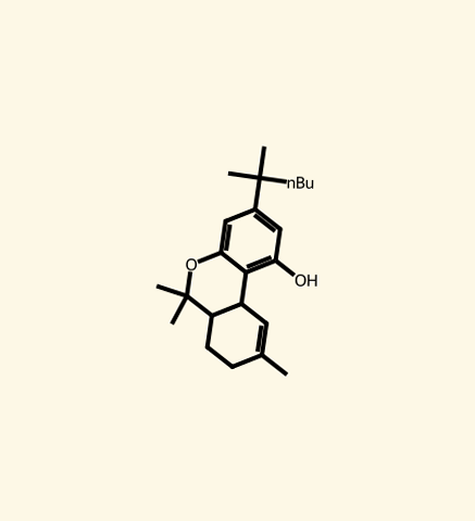 CCCCC(C)(C)c1cc(O)c2c(c1)OC(C)(C)C1CCC(C)=CC21